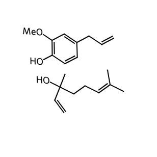 C=CC(C)(O)CCC=C(C)C.C=CCc1ccc(O)c(OC)c1